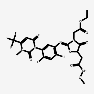 CCOC(=O)CN1C(=O)C(CC(=O)NOC)SC1=Nc1cc(-n2c(=O)cc(C(F)(F)F)n(C)c2=O)c(F)cc1Cl